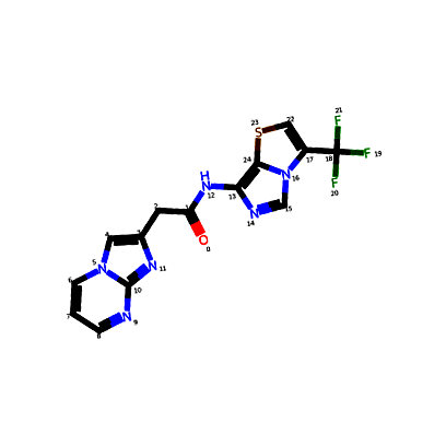 O=C(Cc1cn2cccnc2n1)Nc1ncn2c(C(F)(F)F)csc12